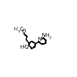 COC=CCc1cc(-c2cccc(N)n2)ccc1O